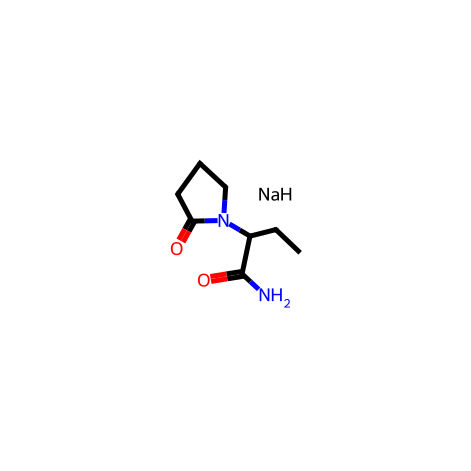 CCC(C(N)=O)N1CCCC1=O.[NaH]